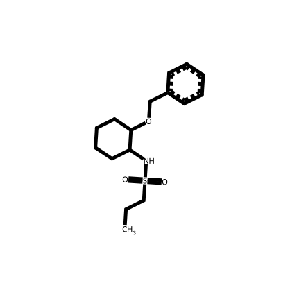 CCCS(=O)(=O)NC1CCCCC1OCc1ccccc1